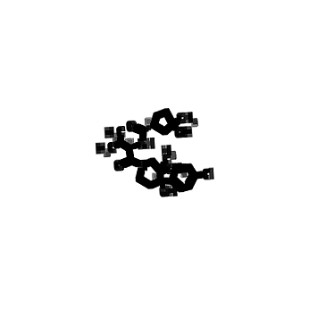 CC(C)[C@@H](NC(=O)[C@@H]1CCC(C)(O)C1)C(=O)N1CC[C@](O)(c2ccc(Cl)cc2)C(C)(C)C1